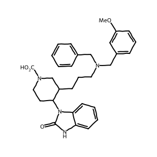 COc1cccc(CN(CCCC2CN(C(=O)O)CCC2n2c(=O)[nH]c3ccccc32)Cc2ccccc2)c1